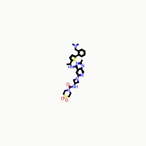 Cc1nc(NC(C)c2ccc(-c3ccccc3CN(C)C)s2)c2cc(N3CC(NC(=O)N4CCS(=O)(=O)CC4)C3)ncc2n1